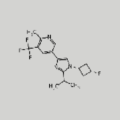 Cc1ncc(-c2cn([C@H]3C[C@@H](F)C3)c(C(C)C)n2)cc1C(F)(F)F